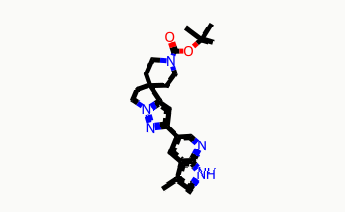 Cc1c[nH]c2ncc(-c3cc4n(n3)CCC43CCN(C(=O)OC(C)(C)C)CC3)cc12